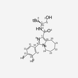 CC(C)(C)[C@@H](CO)NC(=O)c1nc(-c2ccc(F)c(F)c2)n2c1CCCCC2